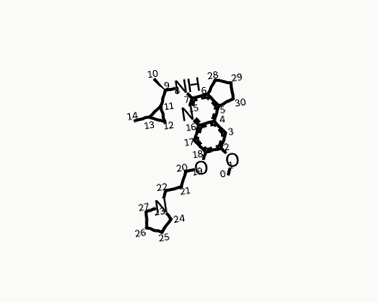 COc1cc2c3c(c(N[C@H](C)C4CC4C)nc2cc1OCCCN1CCCC1)CCC3